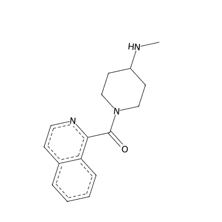 CNC1CCN(C(=O)c2nccc3ccccc23)CC1